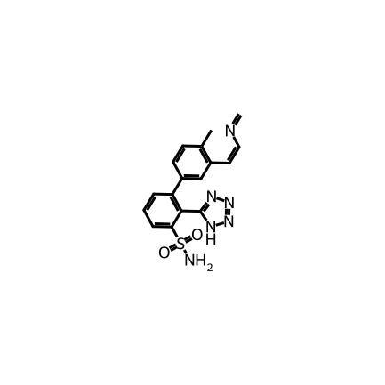 C=N/C=C\c1cc(-c2cccc(S(N)(=O)=O)c2-c2nnn[nH]2)ccc1C